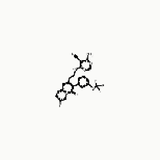 N#Cc1c(N)ncnc1NCCc1cc2ccc(F)cn2c(=O)c1-c1cccc(OC(F)(F)F)c1